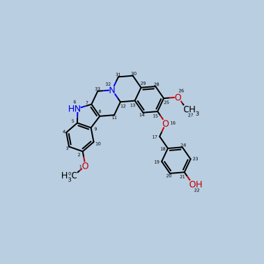 COc1ccc2[nH]c3c(c2c1)CC1c2cc(OCc4ccc(O)cc4)c(OC)cc2CCN1C3